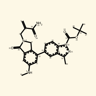 C=C(CN1Cc2c(cc(NC)cc2-c2ccc3c(c2)c(C)nn3C(=O)OC(C)(C)C)C1=O)C(N)=O